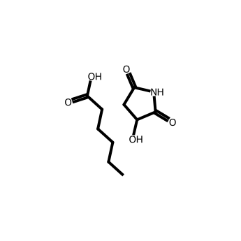 CCCCCC(=O)O.O=C1CC(O)C(=O)N1